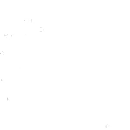 CCC(C)(C)c1cc(CCCCCCC(C)C)cc(C(=O)[O-])c1O.[K+]